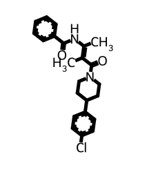 CC(NC(=O)c1ccccc1)=C(C)C(=O)N1CCC(c2ccc(Cl)cc2)CC1